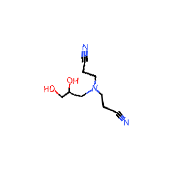 N#CCCN(CCC#N)CC(O)CO